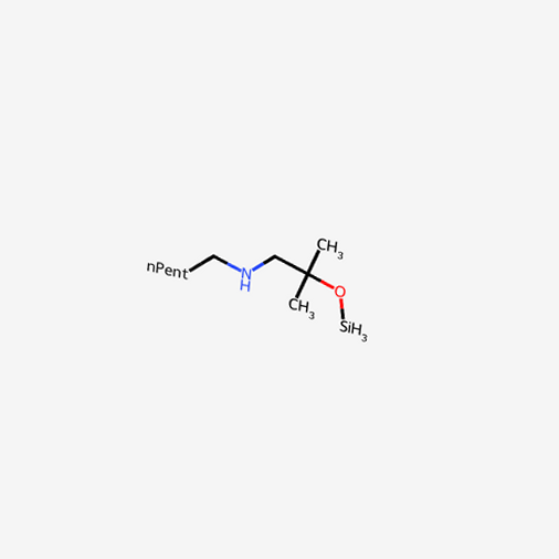 CCCCCCNCC(C)(C)O[SiH3]